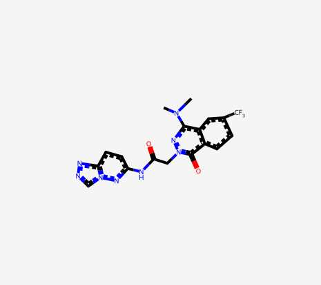 CN(C)c1nn(CC(=O)Nc2ccc3nncn3n2)c(=O)c2ccc(C(F)(F)F)cc12